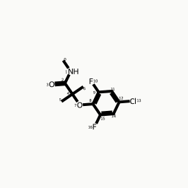 CNC(=O)C(C)(C)Oc1c(F)cc(Cl)cc1F